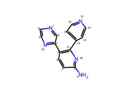 Nc1ccc(-c2cnccn2)c(-c2ccncc2)n1